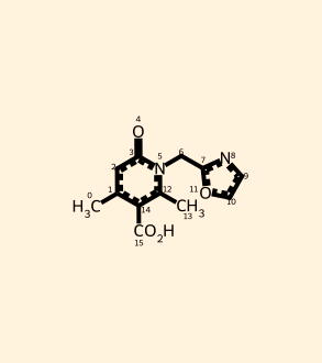 Cc1cc(=O)n(Cc2ncco2)c(C)c1C(=O)O